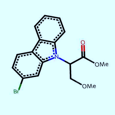 COCC(C(=O)OC)n1c2ccccc2c2ccc(Br)cc21